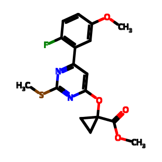 COC(=O)C1(Oc2cc(-c3cc(OC)ccc3F)nc(SC)n2)CC1